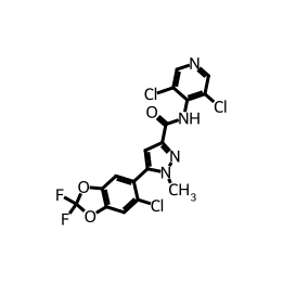 Cn1nc(C(=O)Nc2c(Cl)cncc2Cl)cc1-c1cc2c(cc1Cl)OC(F)(F)O2